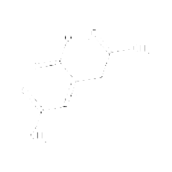 C=C(C)C/C(=C/C(C)=O)C(=O)O